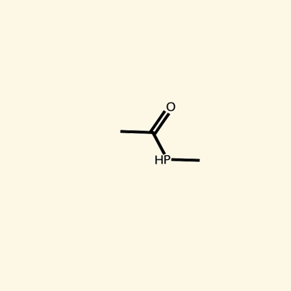 CPC(C)=O